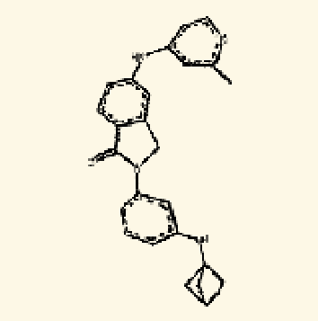 Cc1cc(Nc2ccc3c(c2)CN(c2cccc(NC45CC(C4)C5)c2)C3=O)ccn1